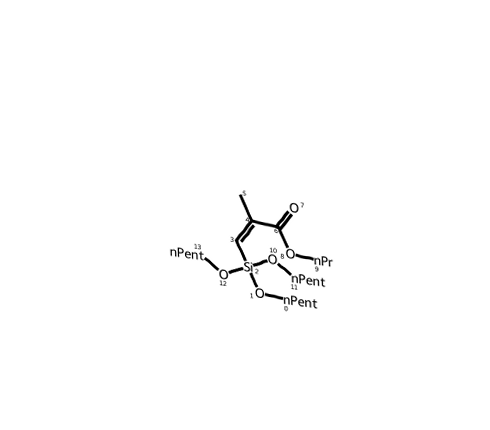 CCCCCO[Si](C=C(C)C(=O)OCCC)(OCCCCC)OCCCCC